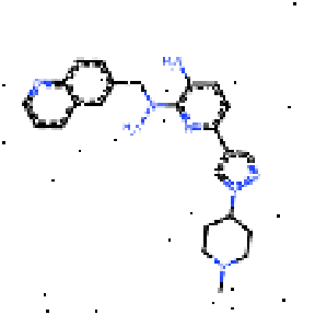 CN1CCC(n2cc(-c3ccc(N)c(N(N)Cc4ccc5ncccc5c4)n3)cn2)CC1